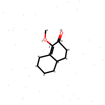 COC1=C2CCCCC2CCC1=O